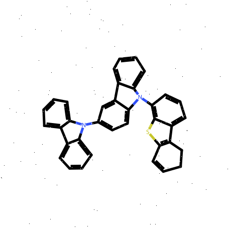 C1=Cc2sc3c(-n4c5ccccc5c5cc(-n6c7ccccc7c7ccccc76)ccc54)cccc3c2CC1